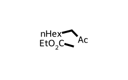 CCCCCCCC(C)=O.CCOC(C)=O